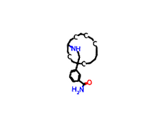 NC(=O)c1cccc(C23CCCCCCCCCCCC(CCC2)NCC3)c1